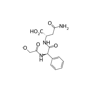 NC(=O)C[C@H](NC(=O)[C@H](NC(=O)C[O])c1ccccc1)C(=O)O